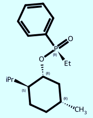 CC[P@@](=O)(O[C@@H]1C[C@H](C)CC[C@H]1C(C)C)c1ccccc1